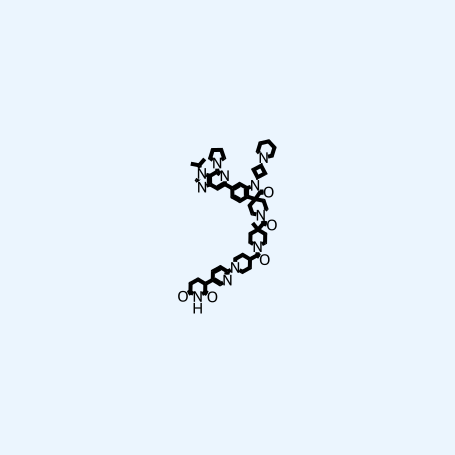 CC(C)n1cnc2cc(-c3ccc4c(c3)N([C@H]3C[C@@H](N5CCCCC5)C3)C(=O)C43CCN(C(=O)C4(C)CCN(C(=O)C5CCN(c6ccc(C7CCC(=O)NC7=O)cn6)CC5)CC4)CC3)nc(N3CCCC3)c21